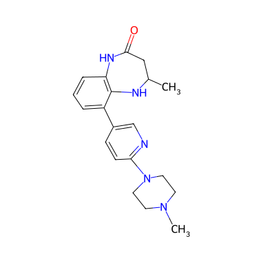 CC1CC(=O)Nc2cccc(-c3ccc(N4CCN(C)CC4)nc3)c2N1